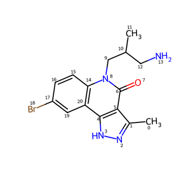 Cc1n[nH]c2c1c(=O)n(CC(C)CN)c1ccc(Br)cc21